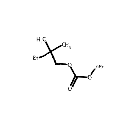 CCCOC(=O)OCC(C)(C)CC